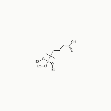 CCO[Si](OCC)(OCC)C(C)(C)CCCC(O)=S